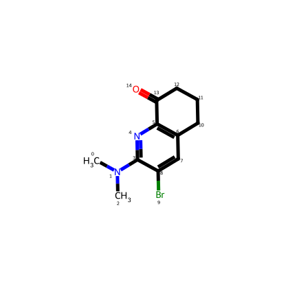 CN(C)c1nc2c(cc1Br)CCCC2=O